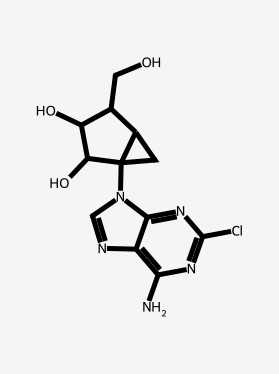 Nc1nc(Cl)nc2c1ncn2C12CC1C(CO)C(O)C2O